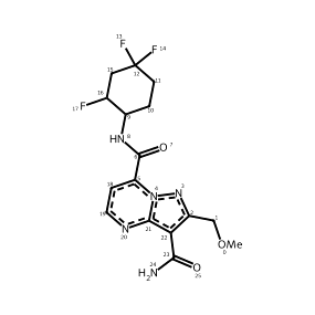 COCc1nn2c(C(=O)NC3CCC(F)(F)CC3F)ccnc2c1C(N)=O